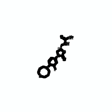 CCCC(=O)NC[C@H]1CN(c2ccc(N3CCCSCCC3)c(F)c2)C(=O)O1